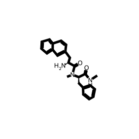 CNC(=O)[C@@H](Cc1ccccc1)N(C)C(=O)[C@H](N)Cc1ccc2ccccc2c1